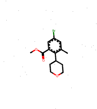 COC(=O)c1cc(Br)cc(C)c1C1CCOCC1